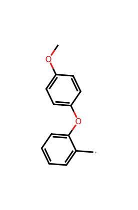 [CH2]c1ccccc1Oc1ccc(OC)cc1